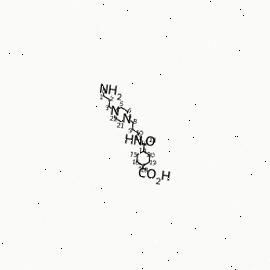 NCCCN1CCN(CCCNC(=O)C2CCC(C(=O)O)CC2)CC1